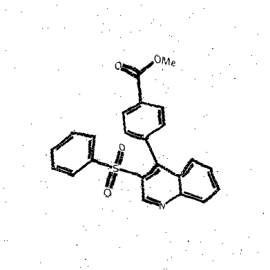 COC(=O)c1ccc(-c2c(S(=O)(=O)c3ccccc3)cnc3ccccc23)cc1